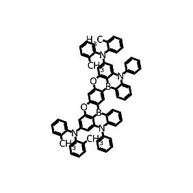 Cc1ccccc1N(c1cc2c3c(c1)N(c1ccccc1)c1ccccc1B3c1cc3c(cc1O2)Oc1cc(N(c2ccccc2C)c2ccccc2C)cc2c1B3c1ccccc1N2c1ccccc1)c1ccccc1C